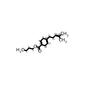 CCCCOC(=O)C1=CCC(CCC=C(C)C)=CC1